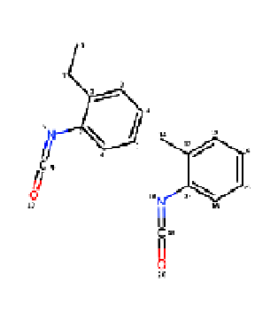 CCc1ccccc1N=C=O.Cc1ccccc1N=C=O